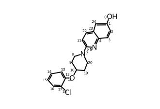 Oc1ccc2nc(N3CCC(Oc4ccccc4Cl)CC3)ccc2c1